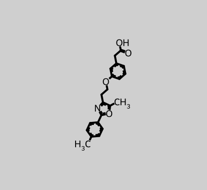 Cc1ccc(-c2nc(CCOc3cccc(CC(=O)O)c3)c(C)o2)cc1